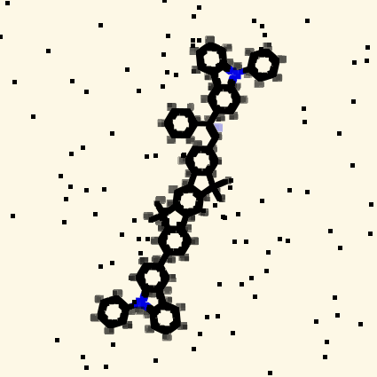 CC1(C)c2cc(/C=C(\c3ccccc3)c3ccc4c(c3)c3ccccc3n4-c3ccccc3)ccc2-c2cc3c(cc21)-c1ccc(-c2ccc4c(c2)c2ccccc2n4-c2ccccc2)cc1C3(C)C